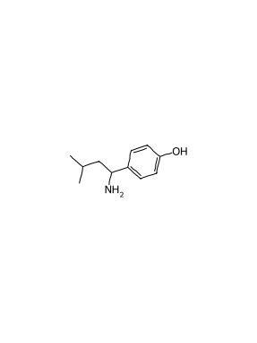 CC(C)CC(N)c1ccc(O)cc1